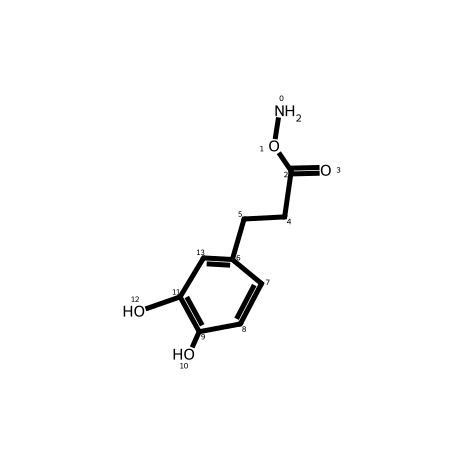 NOC(=O)CCc1ccc(O)c(O)c1